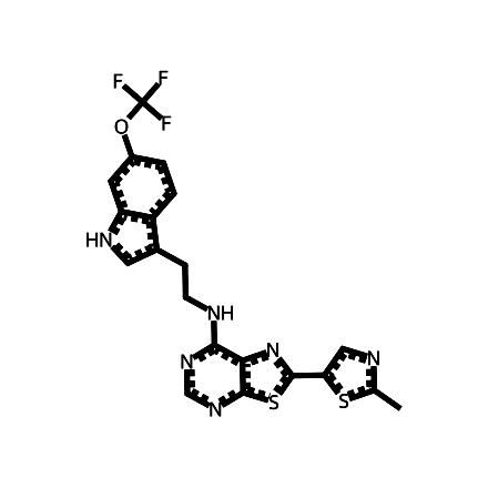 Cc1ncc(-c2nc3c(NCCc4c[nH]c5cc(OC(F)(F)F)ccc45)ncnc3s2)s1